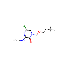 CCCCCCCCNc1nc(Br)cn(COCC[Si](C)(C)C)c1=O